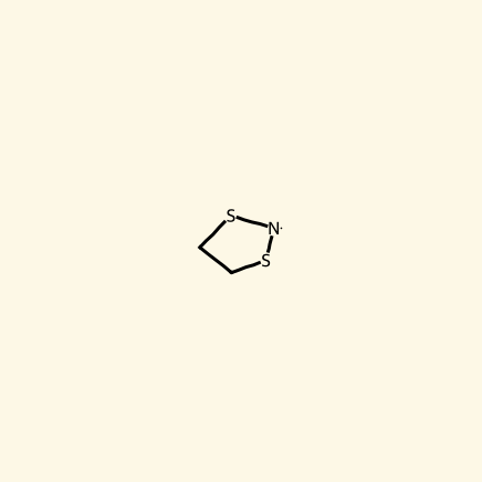 C1CS[N]S1